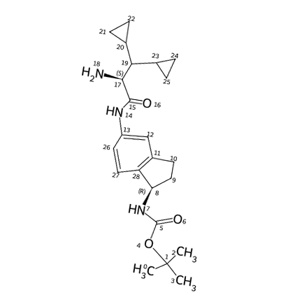 CC(C)(C)OC(=O)N[C@@H]1CCc2cc(NC(=O)[C@@H](N)C(C3CC3)C3CC3)ccc21